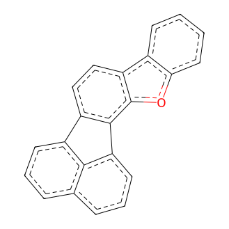 c1cc2c3c(cccc3c1)-c1c-2ccc2c1oc1ccccc12